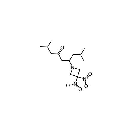 CC(C)CC(=O)CC(CC(C)C)N1CC([N+](=O)[O-])([N+](=O)[O-])C1